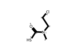 CN(CCCl)C(=O)S